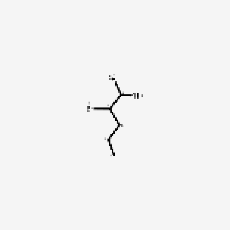 [2H]C([2H])C(Br)CCC